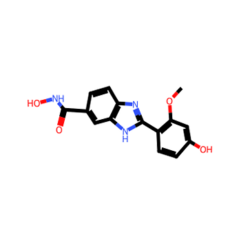 COc1cc(O)ccc1-c1nc2ccc(C(=O)NO)cc2[nH]1